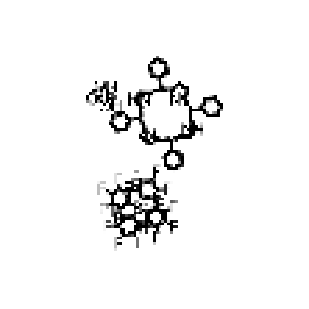 C1=Cc2nc1c(-c1ccccc1)c1ccc([nH]1)c(-c1ccccc1)c1nc(c(-c3ccccc3)c3ccc([nH]3)c2-c2ccccc2)C=C1.Fc1c(F)c(F)c([B-](c2c(F)c(F)c(F)c(F)c2F)(c2c(F)c(F)c(F)c(F)c2F)c2c(F)c(F)c(F)c(F)c2F)c(F)c1F.[O]=[Mn](=[O])([OH])[OH]